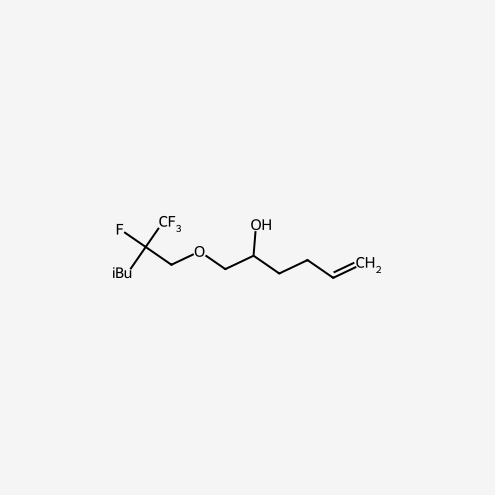 C=CCCC(O)COCC(F)(C(C)CC)C(F)(F)F